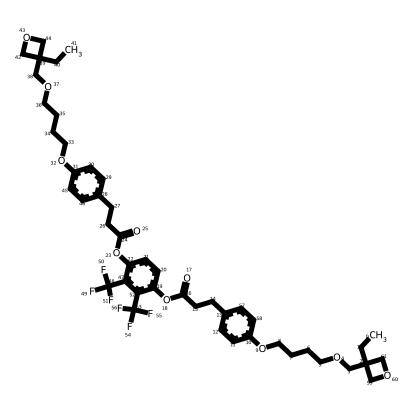 CCC1(COCCCCOc2ccc(CCC(=O)Oc3ccc(OC(=O)CCc4ccc(OCCCCOCC5(CC)COC5)cc4)c(C(F)(F)F)c3C(F)(F)F)cc2)COC1